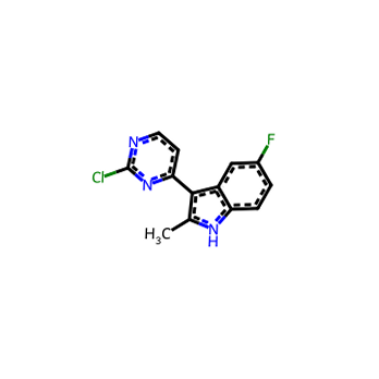 Cc1[nH]c2ccc(F)cc2c1-c1ccnc(Cl)n1